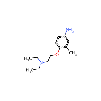 CCN(CC)CCOc1ccc(N)cc1C